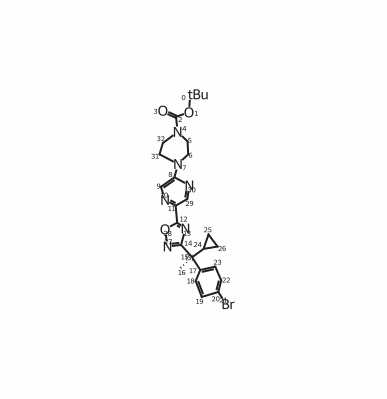 CC(C)(C)OC(=O)N1CCN(c2cnc(-c3nc([C@](C)(c4ccc(Br)cc4)C4CC4)no3)cn2)CC1